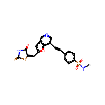 CCNS(=O)(=O)c1ccc(C#Cc2cncc3cc(C=C4SC(=S)NC4=O)oc23)cc1